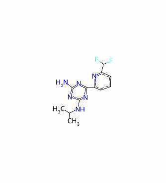 CC(C)Nc1nc(N)nc(-c2cccc(C(F)F)n2)n1